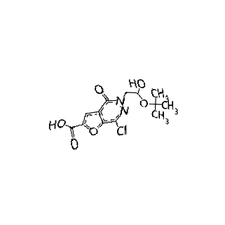 CC(C)(C)OC(O)Cn1nc(Cl)c2oc(C(=O)O)cc2c1=O